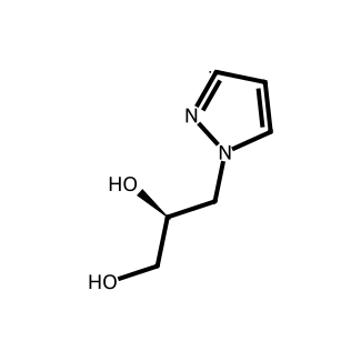 OC[C@@H](O)Cn1cc[c]n1